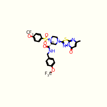 Cc1cc(=O)n2nc(N3CCN(S(=O)(=O)c4ccc(OC(F)(F)F)cc4)[C@@H](C(=O)NCc4ccc(OC(F)(F)F)cc4)C3)sc2n1